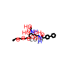 C#CCOCCOCCO[C@@]1(C(=O)O)C[C@H](O)[C@@H](NC(=O)CO)[C@H]([C@H](O)[C@H](O)CNC(=O)Cc2ccc(-c3ccccc3)cc2)O1